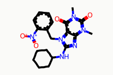 Cn1c(=O)c2c(nc(NC3CCCCC3)n2Cc2ccccc2[N+](=O)[O-])n(C)c1=O